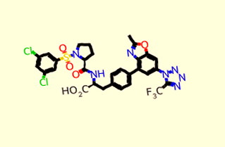 Cc1nc2c(-c3ccc(C[C@H](NC(=O)[C@@H]4CCCN4S(=O)(=O)c4cc(Cl)cc(Cl)c4)C(=O)O)cc3)cc(-n3nnnc3C(F)(F)F)cc2o1